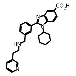 O=C(O)c1ccc2c(c1)nc(-c1cccc(CNCCc3cccnc3)c1)n2C1CCCCC1